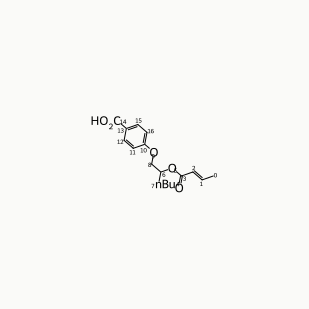 CC=CC(=O)OC(CCCC)COc1ccc(C(=O)O)cc1